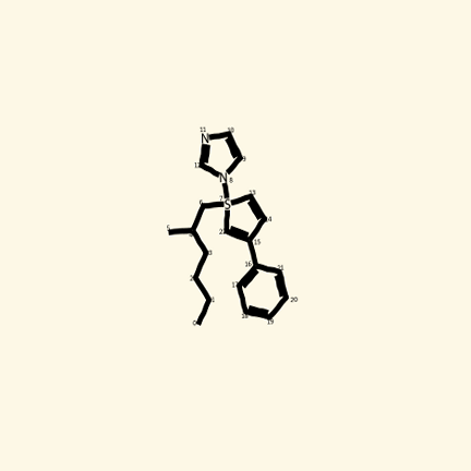 CCCCC(C)CS1(n2ccnc2)C=CC(c2ccccc2)=C1